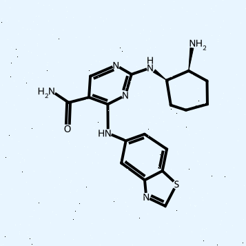 NC(=O)c1cnc(N[C@@H]2CCCC[C@@H]2N)nc1Nc1ccc2scnc2c1